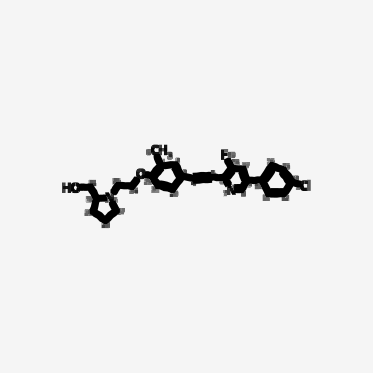 Cc1cc(C#Cc2ncc(-c3ccc(Cl)cc3)cc2F)ccc1OCCN1CCCC1CO